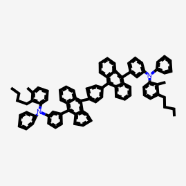 CCCCc1cccc(N(c2ccccc2)c2cccc(-c3c4ccccc4c(-c4ccc(-c5c6ccccc6c(-c6cccc(N(c7ccccc7)c7cccc(C)c7CCCC)c6)c6ccccc56)cc4)c4ccccc34)c2)c1C